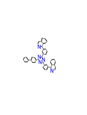 c1ccc(-c2ccc(-c3nc(-c4cccc(-c5nccc6ccccc56)c4)nc(-c4cccc(-c5nccc6ccccc56)c4)n3)cc2)cc1